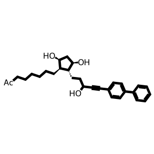 CC(=O)CCCCCC[C@@H]1[C@@H](CCC(O)C#Cc2ccc(-c3ccccc3)cc2)[C@H](O)C[C@@H]1O